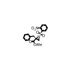 COC(=O)[C@@]1(Cc2ccccc2)CN1S(=O)(=O)c1ccccc1[N+](=O)[O-]